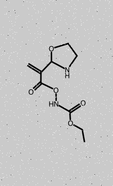 C=C(C(=O)ONC(=O)OCC)C1NCCO1